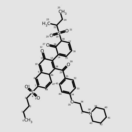 CCCCS(=O)(=O)C1=CC2=CC(=O)C(C3=CC=CC(S(=O)(=O)C(C)CC)C3=O)=C(C(=O)c3ccc(OCCN4CCCCC4)cc3)C2C=C1